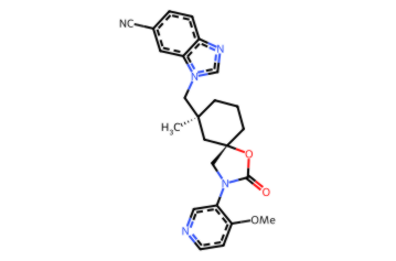 COc1ccncc1N1C[C@@]2(CCC[C@](C)(Cn3cnc4ccc(C#N)cc43)C2)OC1=O